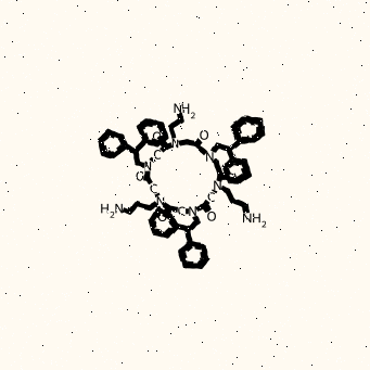 NCCCN1CC(=O)N(CC(c2ccccc2)c2ccccc2)CC(=O)N(CCN)CC(=O)N(CC(c2ccccc2)c2ccccc2)CC(=O)N(CCCN)CC(=O)N(CC(c2ccccc2)c2ccccc2)CC1=O